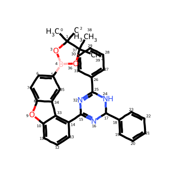 CC1(C)OB(c2ccc3oc4cccc(C5=NC(c6ccccc6)NC(c6ccccc6)=N5)c4c3c2)OC1(C)C